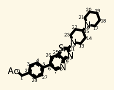 CC(=O)Cc1ccc(-c2cnc3nc(N4CCC(N5CCCCC5)CC4)sc3c2)cc1